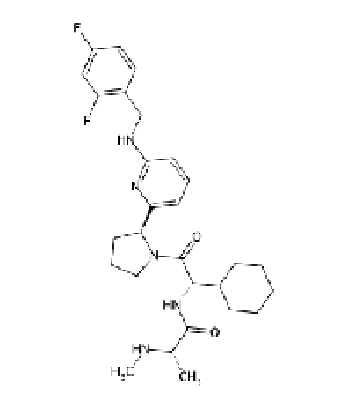 CN[C@@H](C)C(=O)N[C@H](C(=O)N1CCC[C@H]1c1cccc(NCc2ccc(F)cc2F)n1)C1CCCCC1